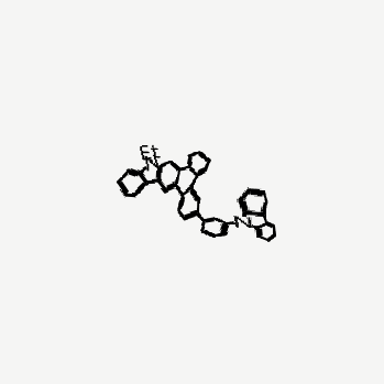 CCn1c2ccccc2c2cc3c4ccc(-c5cccc(-n6c7ccccc7c7ccccc76)c5)cc4c4ccccc4c3cc21